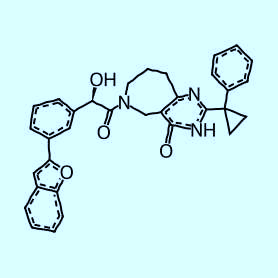 O=C([C@H](O)c1cccc(-c2cc3ccccc3o2)c1)N1CCCc2nc(C3(c4ccccc4)CC3)[nH]c(=O)c2C1